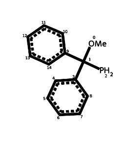 COC(P)(c1ccccc1)c1ccccc1